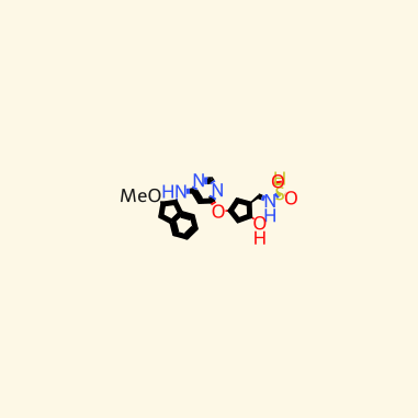 CO[C@H]1Cc2ccccc2[C@H]1Nc1cc(O[C@@H]2C[C@@H](CN[SH](=O)=O)[C@H](O)C2)ncn1